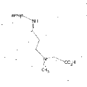 CCCCCNCCCN(C)CC(=O)O